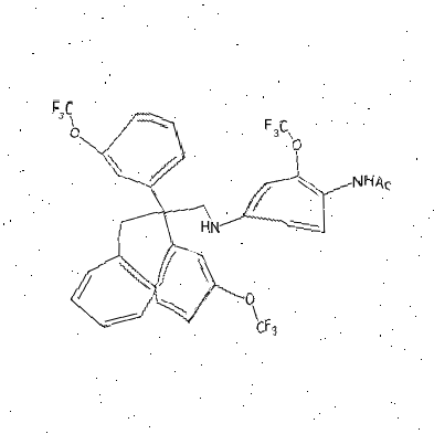 CC(=O)Nc1ccc(NCC(Cc2ccccc2)(c2cccc(OC(F)(F)F)c2)c2cccc(OC(F)(F)F)c2)cc1OC(F)(F)F